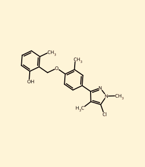 Cc1cc(-c2nn(C)c(Cl)c2C)ccc1OCc1c(C)cccc1O